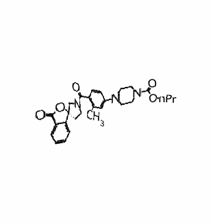 CCCOC(=O)N1CCN(c2ccc(C(=O)N3CC[C@@]4(C3)OC(=O)c3ccccc34)c(C)c2)CC1